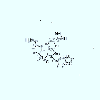 CN(C(=O)CN(Cc1ccc2c(c1)OCO2)C(=O)c1cccc(C(=N)N)c1)C1CCC(CN)CC1